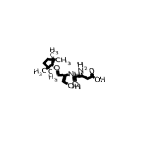 CC1(C)CCC(C)(C)C1OCC(CO)NC(=O)[C@@H](N)CC(=O)O